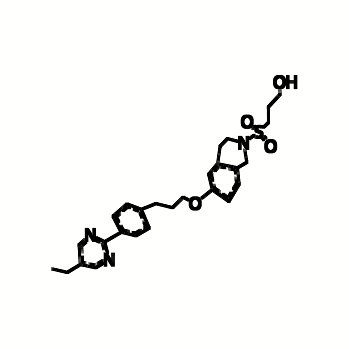 CCc1cnc(-c2ccc(CCCOc3ccc4c(c3)CCN(S(=O)(=O)CCCO)C4)cc2)nc1